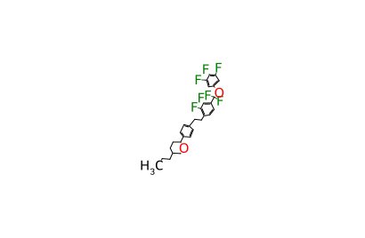 CCCC1CCC(c2ccc(CCc3ccc(C(F)(F)Oc4cc(F)c(F)c(F)c4)c(F)c3F)cc2)OC1